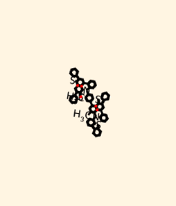 Cc1cc(-c2ccc(N(c3ccccc3-c3ccc4sc5ccccc5c4c3)c3cccc4c3sc3ccccc34)c(C)c2)ccc1N(c1ccccc1-c1ccc2sc3ccccc3c2c1)c1cccc2c1sc1ccccc12